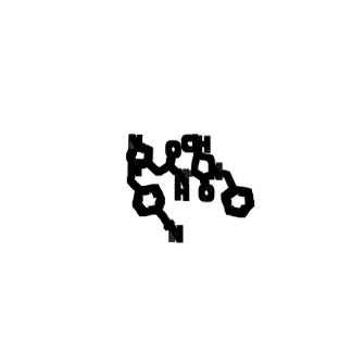 Cl.N#Cc1ccc(Cn2cncc2CC(=O)N[C@@H]2CCN(Cc3ccccc3)C2=O)cc1